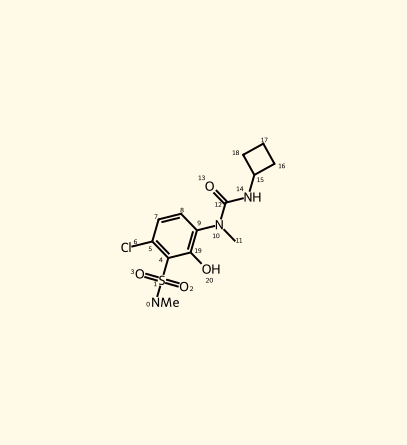 CNS(=O)(=O)c1c(Cl)ccc(N(C)C(=O)NC2CCC2)c1O